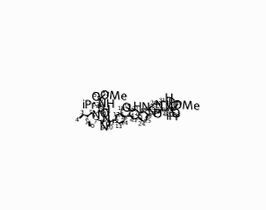 C#C[C@H](C=C)CN(Cc1ncc(-c2ccc3c(c2)COc2cc4c(ccc5nc(CN(CC(C)C)C(=O)[C@H](NC(=O)OC)C(C)C)[nH]c54)cc2-3)[nH]1)C(=O)[C@@H](NC(=O)OC)C(C)C